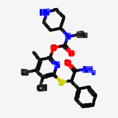 CCc1c(C)c(OC(=O)N(C2CCNCC2)C(C)(C)C)nc(SC(C(N)=O)c2ccccc2)c1C#N